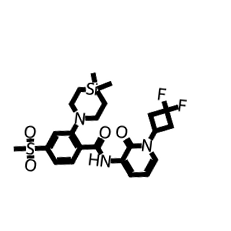 C[Si]1(C)CCN(c2cc(S(C)(=O)=O)ccc2C(=O)Nc2cccn(C3CC(F)(F)C3)c2=O)CC1